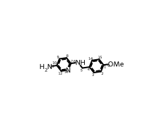 COc1ccc(CNc2ccc(N)cn2)cc1